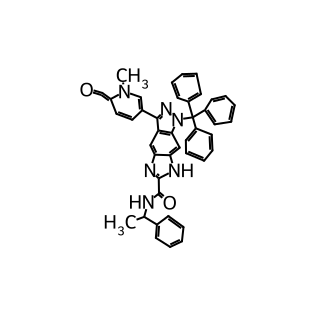 CC(NC(=O)c1nc2cc3c(C4=CN(C)C(=C=O)C=C4)nn(C(c4ccccc4)(c4ccccc4)c4ccccc4)c3cc2[nH]1)c1ccccc1